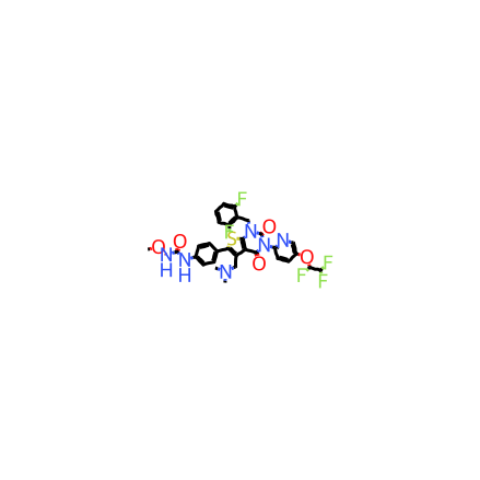 CONC(=O)Nc1ccc(-c2sc3c(c2CN(C)C)c(=O)n(-c2ccc(OC(F)C(F)F)cn2)c(=O)n3Cc2c(F)cccc2F)cc1